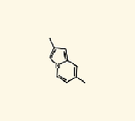 Cc1ccn2cc(C)cc2c1